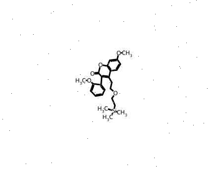 COc1ccc2c(CCOCC[Si](C)(C)C)c(-c3ccccc3OC)c(=O)oc2c1